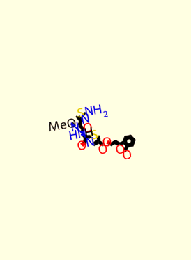 CON=C(C(=O)NC1C(=O)N2C=C(C(=O)OCC=C3OC(=O)c4ccccc43)CS[C@H]12)c1csc(N)n1